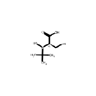 CC(C)(C)N(S)[C@H](CS)C(=O)O